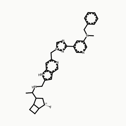 CC(NCc1cc2cnc(Cn3cnc(-c4cncc(N(C)Cc5ccccc5)c4)n3)cc2[nH]1)C1C[C@H](F)C2CCC12